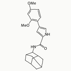 COc1ccc(-c2c[nH]c(C(=O)NC3C4CC5CC(C4)CC3C5)c2)c(OC)c1